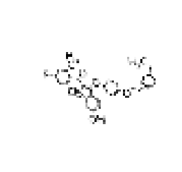 CC[C@H]1CCN(CCOc2ccc(Oc3c(C(=O)c4c(C)cc(F)cc4Cl)sc4cc(O)ccc34)cc2)C1